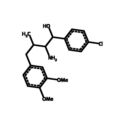 COc1ccc(CC(C)C(N)C(O)c2ccc(Cl)cc2)cc1OC